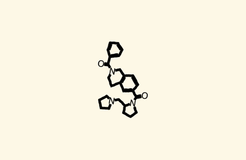 O=C(c1ccccc1)N1CCc2cc(C(=O)N3CCCC3CN3CCCC3)ccc2C1